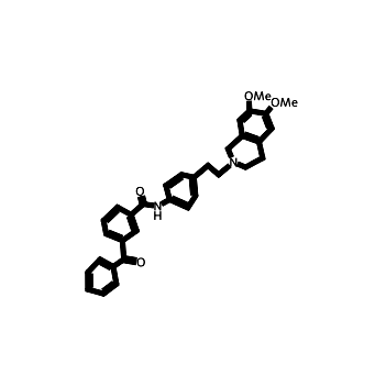 COc1cc2c(cc1OC)CN(CCc1ccc(NC(=O)c3cccc(C(=O)c4ccccc4)c3)cc1)CC2